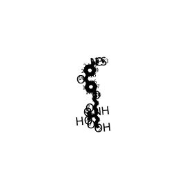 O=C(O)CC(NC(=O)CCOc1ccc(C(=O)c2ccc(N=C=S)cc2)cc1)C(=O)O